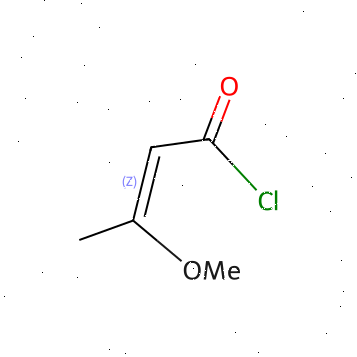 CO/C(C)=C\C(=O)Cl